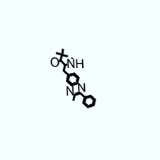 CNC(Cc1ccc2nc(-c3ccccc3)c(C)nc2c1)C(=O)C(C)(C)C